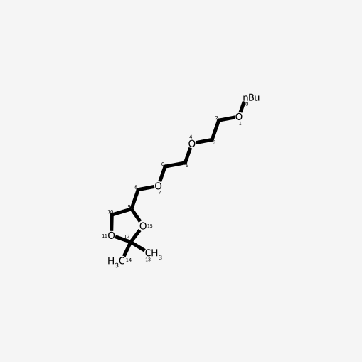 CCCCOCCOCCOCC1COC(C)(C)O1